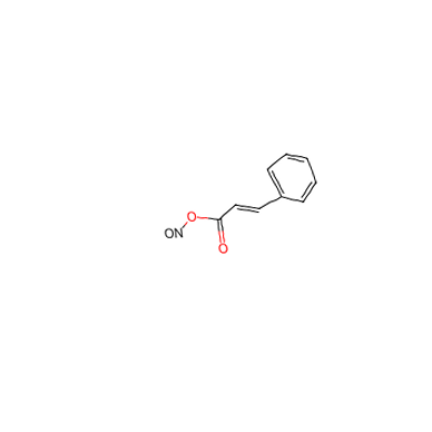 O=NOC(=O)/C=C/c1ccccc1